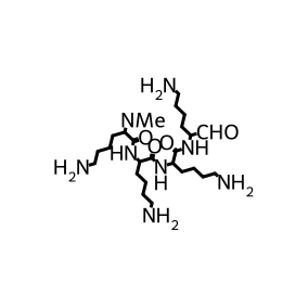 CNC(CCCCN)C(=O)NC(CCCCN)C(=O)NC(CCCCN)C(=O)NC(C=O)CCCCN